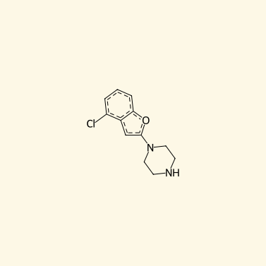 Clc1cccc2oc(N3CCNCC3)cc12